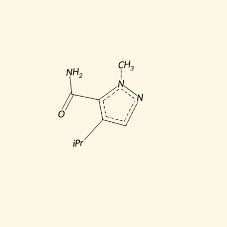 CC(C)c1cnn(C)c1C(N)=O